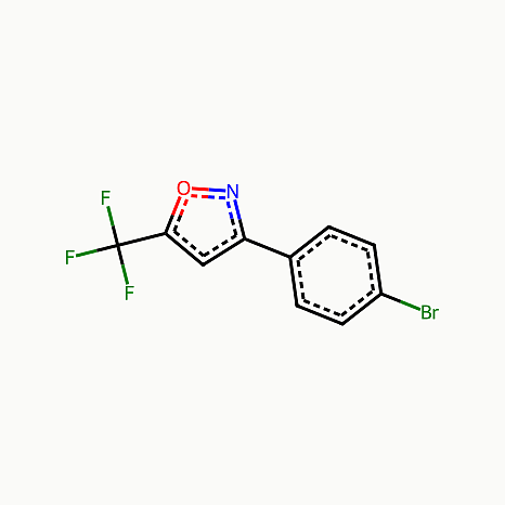 FC(F)(F)c1cc(-c2ccc(Br)cc2)no1